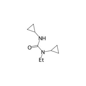 CCN(C(=O)NC1CC1)C1CC1